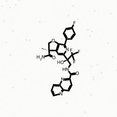 C[C@]1(C(N)=O)COc2c1cc([C@@](O)(CNC(=O)c1ccc3ncccc3n1)C(F)(F)F)nc2-c1ccc(F)cc1